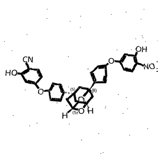 N#Cc1ccc(Oc2ccc([C@@]34C[C@H]5C[C@@](c6ccc(Oc7ccc([N+](=O)[O-])c(O)c7)cc6)(C3)O[C@@H](C4)O5)cc2)cc1O